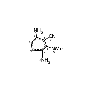 CNc1c(N)ccc(N)c1C#N